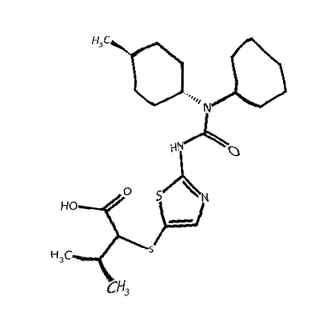 CC(C)C(Sc1cnc(NC(=O)N(C2CCCCC2)[C@H]2CC[C@H](C)CC2)s1)C(=O)O